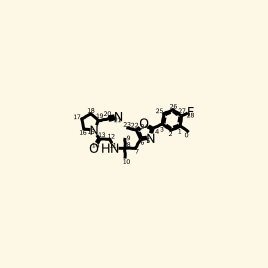 Cc1cc(-c2nc(CC(C)(C)NCC(=O)N3CCCC3C#N)c(C)o2)ccc1F